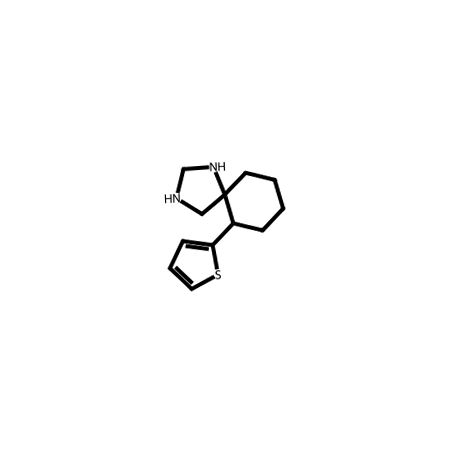 c1csc(C2CCCCC23CNCN3)c1